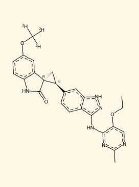 [2H]C([2H])([2H])Oc1ccc2c(c1)[C@]1(C[C@H]1c1ccc3c(Nc4nc(C)ncc4OCC)n[nH]c3c1)C(=O)N2